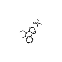 CC[N+](CC)=C1OCC2CC12c1ccccc1.CS(=O)(=O)[O-]